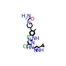 Cc1cc(Nc2ncc(Cl)c(Nc3cc(C4CC4)[nH]n3)n2)c(F)cc1C1CCN(CC(N)=O)CC1